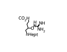 CCCCCCCCC(CCC(=O)O)ONC(=N)N